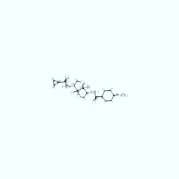 CCCCC1CCC(C(=O)N[C@H]2CO[C@H]3[C@@H]2OC[C@@H]3NC(=O)C2CC2)CC1